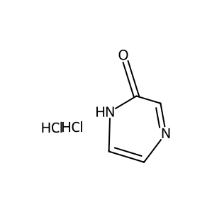 Cl.Cl.O=c1cncc[nH]1